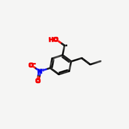 CCCc1ccc([N+](=O)[O-])cc1[CH]O